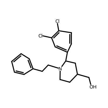 OCC1CCN(CCc2ccccc2)C(c2ccc(Cl)c(Cl)c2)C1